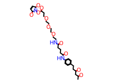 CC(=O)CC(=O)CCc1ccc(NC(=O)CCCC(=O)NCCOCCOCCOCCC(=O)ON2C(=O)C=CC2=O)cc1